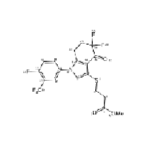 COC(=O)CCSc1cn(-c2ccc(F)c(C(F)(F)F)c2)c2c1C(=O)C(F)(F)CC2